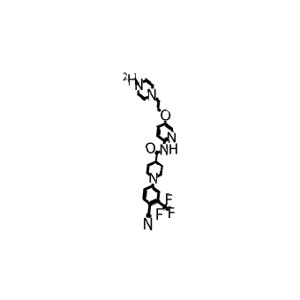 [2H]N1CCN(CCOc2ccc(NC(=O)C3CCN(c4ccc(C#N)c(C(F)(F)F)c4)CC3)nc2)CC1